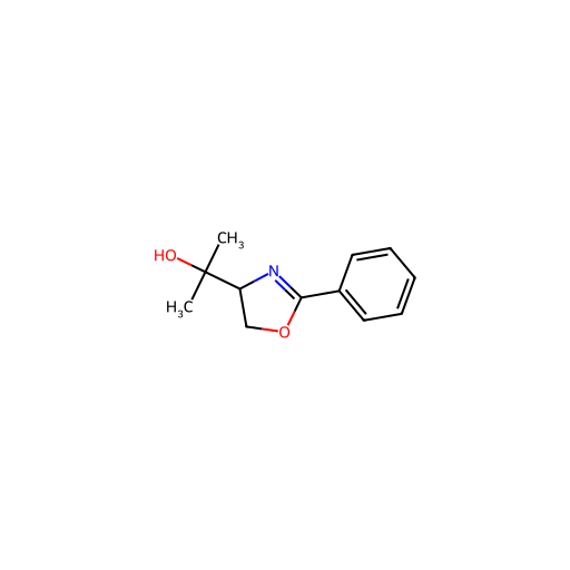 CC(C)(O)C1COC(c2ccccc2)=N1